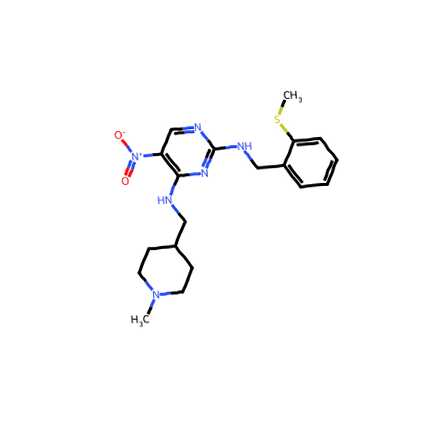 CSc1ccccc1CNc1ncc([N+](=O)[O-])c(NCC2CCN(C)CC2)n1